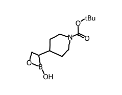 CC(C)(C)OC(=O)N1CCC(C2COB2O)CC1